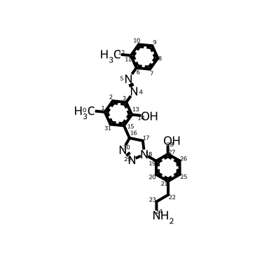 Cc1cc(/N=N/c2ccccc2C)c(O)c(C2CN(c3cc(CCN)ccc3O)N=N2)c1